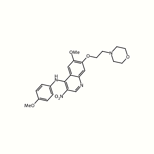 COc1ccc(Nc2c([N+](=O)[O-])cnc3cc(OCCN4CCOCC4)c(OC)cc23)cc1